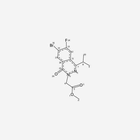 COC(=O)Cn1nc(C(C)C)c2cc(F)c(Br)cc2c1=O